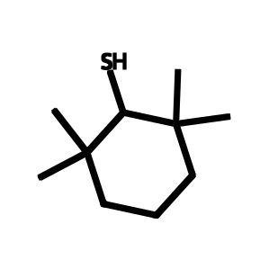 CC1(C)CCCC(C)(C)C1S